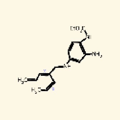 C=C/C=C(\C=C/C)CNc1ccc(NC(=O)OCC)c(N)c1